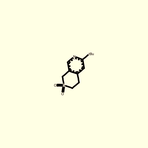 CC(C)(C)c1cc2c(cn1)CS(=O)(=O)CC2